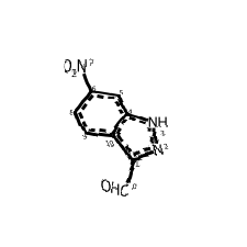 O=Cc1n[nH]c2cc([N+](=O)[O-])ccc12